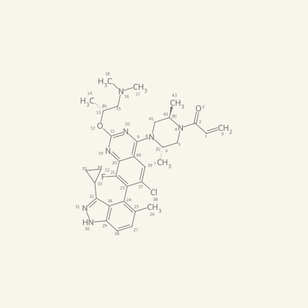 C=CC(=O)N1C[C@H](C)N(c2nc(O[C@H](C)CN(C)C)nc3c(F)c(-c4c(C)ccc5[nH]nc(C6CC6)c45)c(Cl)cc23)C[C@H]1C